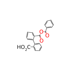 O=C(OC(=O)c1ccccc1-c1ccccc1C(=O)O)c1ccccc1